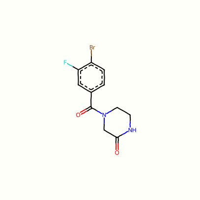 O=C1CN(C(=O)c2ccc(Br)c(F)c2)CCN1